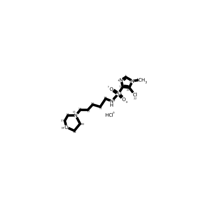 Cl.Cn1cnc(S(=O)(=O)NCCCCCN2CCOCC2)c1Cl